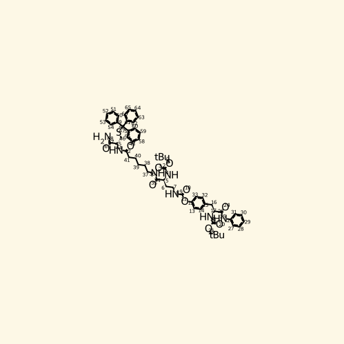 CC(C)(C)OC(=O)N[C@@H](CCNC(=O)Oc1ccc(C[C@H](NC(=O)OC(C)(C)C)C(=O)Nc2ccccc2)cc1)C(=O)NCCCCCC(=O)N[C@@H](CSC(c1ccccc1)(c1ccccc1)c1ccccc1)C(N)=O